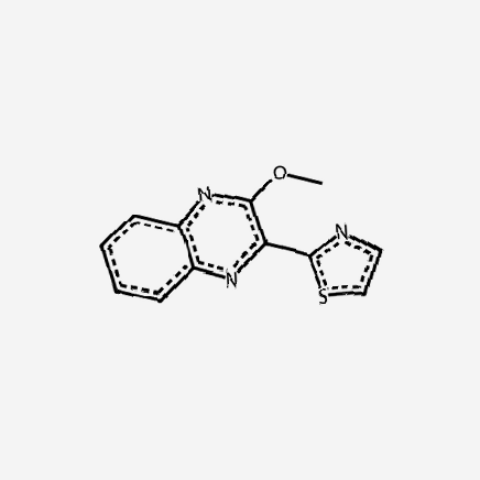 COc1nc2ccccc2nc1-c1nccs1